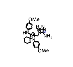 COc1ccc(NC(=O)C2(N(C(=O)CN(N)/C(N)=N\N)c3ccc(OC)cc3)CCCCC2)cc1